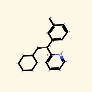 Cc1cccc([C@H](CC2CCCCC2)c2ccccn2)c1